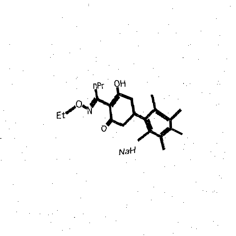 CCCC(=NOCC)C1=C(O)CC(c2c(C)c(C)c(C)c(C)c2C)CC1=O.[NaH]